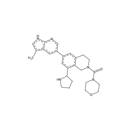 Cc1c[nH]c2ncc(-c3cc4c(c(C5CCCN5)c3)CN(C(=O)N3CCOCC3)CC4)cc12